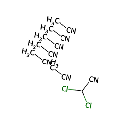 CC#N.CC#N.CC#N.CC#N.CC#N.CC#N.N#CC(Cl)Cl